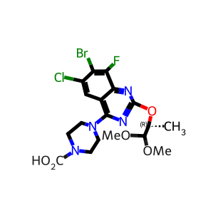 COC(OC)[C@@H](C)Oc1nc(N2CCN(C(=O)O)CC2)c2cc(Cl)c(Br)c(F)c2n1